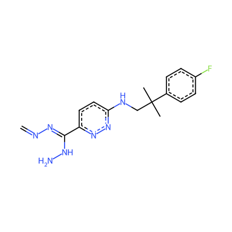 C=N/N=C(\NN)c1ccc(NCC(C)(C)c2ccc(F)cc2)nn1